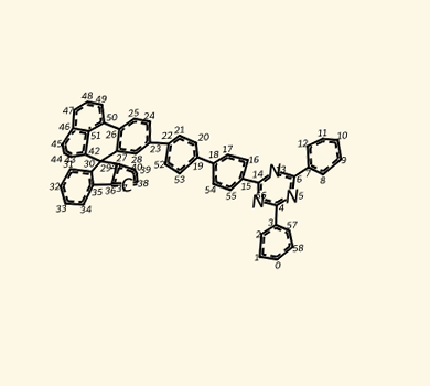 c1ccc(-c2nc(-c3ccccc3)nc(-c3ccc(-c4ccc(-c5ccc6c(c5)C5(c7ccccc7-c7ccccc75)c5cccc7cccc-6c57)cc4)cc3)n2)cc1